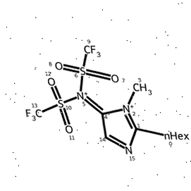 CCCCCCC1=[N+](C)C(=[N+](S(=O)(=O)C(F)(F)F)S(=O)(=O)C(F)(F)F)C=N1